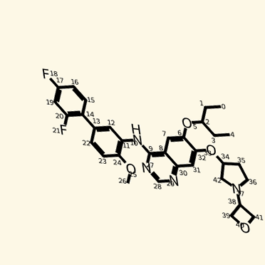 CCC(CC)Oc1cc2c(Nc3cc(-c4ccc(F)cc4F)ccc3OC)ncnc2cc1OC1CCN(C2COC2)C1